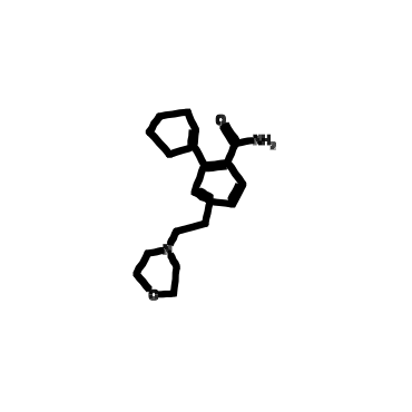 NC(=O)c1ccc(CCN2CCOCC2)cc1C1=CCCCC1